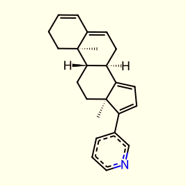 C[C@]12CC[C@H]3[C@@H](CC=C4C=CCC[C@@]43C)C1=CC=C2c1cccnc1